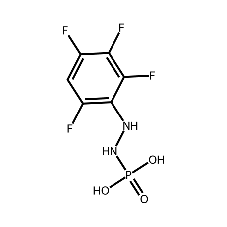 O=P(O)(O)NNc1c(F)cc(F)c(F)c1F